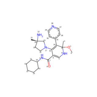 COC1(C)NC=C(C(=O)NC2CCCCC2)C(N2CC[C@](C)(N)C2)=C1c1ccncc1